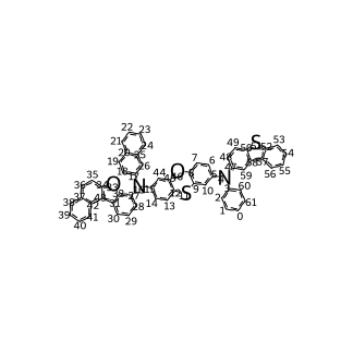 c1ccc(N(c2ccc3c(c2)Sc2ccc(N(c4ccc5ccccc5c4)c4cccc5c4oc4ccc6ccccc6c45)cc2O3)c2ccc3sc4ccccc4c3c2)cc1